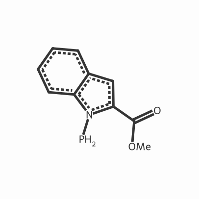 COC(=O)c1cc2ccccc2n1P